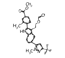 COC(=O)c1ccc(-c2[nH]c3ccc(-c4cc(C(F)(F)F)nn4C)cc3c2CCOC=O)c(C)c1